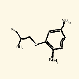 CC(=O)C(N)COc1cc(N)ccc1N